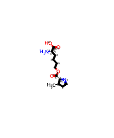 C[C@@H]1CC=N[C@H]1C(=O)OCCCC[C@H](N)C(=O)O